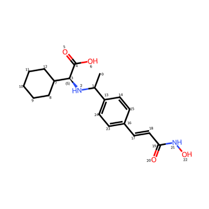 CC(N[C@H](C(=O)O)C1CCCCC1)c1ccc(C=CC(=O)NO)cc1